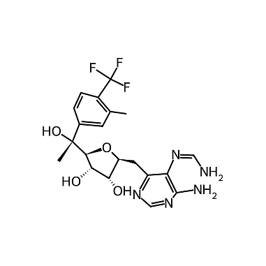 Cc1cc([C@@](C)(O)[C@H]2O[C@@H](Cc3ncnc(N)c3/N=C\N)[C@H](O)[C@@H]2O)ccc1C(F)(F)F